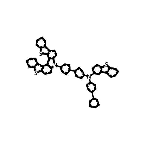 c1ccc(-c2ccc(N(c3ccc(-c4ccc(-n5c6ccc7c8ccccc8sc7c6c6c7c(ccc65)sc5ccccc57)cc4)cc3)c3ccc4sc5ccccc5c4c3)cc2)cc1